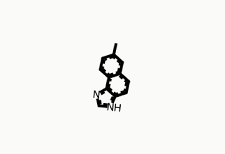 Cc1ccc2c(ccc3[nH]cnc32)c1